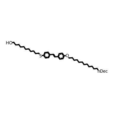 CCCCCCCCCCCCCCCCCCCCCCOc1ccc(C=Cc2ccc(SCCCCCCCCCCCO)cc2)cc1